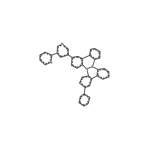 c1ccc(-c2ccc3c(c2)-c2ccccc2B2c4ccccc4-c4cc(-c5cncc(-c6ccccn6)c5)ccc4N23)cc1